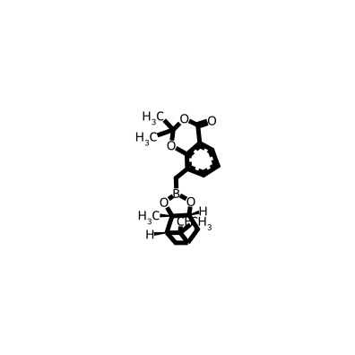 CC1(C)OC(=O)c2cccc(CB3O[C@@H]4CC5C[C@@H](C5(C)C)[C@]4(C)O3)c2O1